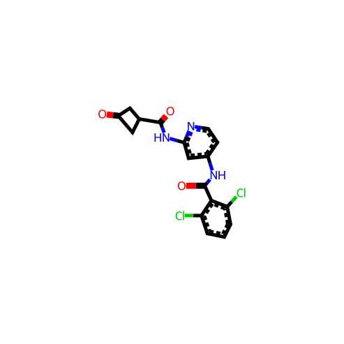 O=C1CC(C(=O)Nc2cc(NC(=O)c3c(Cl)cccc3Cl)ccn2)C1